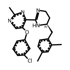 Cc1ccc(C[C@@H]2CCN=C(c3nc(C)ncc3Oc3cccc(Cl)c3)N2)c(C)c1